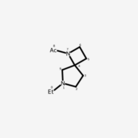 CCN1CCC2(CCN2C(C)=O)C1